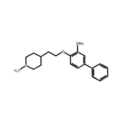 COc1cc(-c2cc[c]cc2)ccc1OCCC1CCN(C)CC1